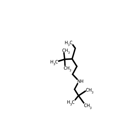 CCC(CCNCC(C)(C)C)C(C)(C)C